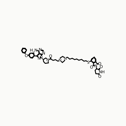 Nc1ncnc2c1c(-c1ccc(Oc3ccccc3)cc1)nn2[C@@H]1CCCN(C(=O)CCCN2CCN(CCCCCCCCCSc3cccc4c3C(=O)N(C3CCC(=O)NC3=O)C4=O)CC2)C1